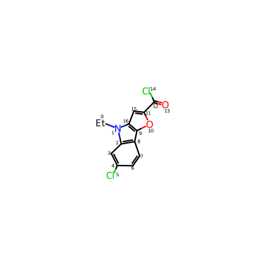 CCn1c2cc(Cl)ccc2c2oc(C(=O)Cl)cc21